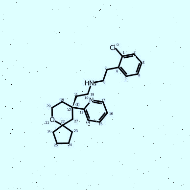 Clc1ccccc1CCNCC[C@]1(c2ccccn2)CCOC2(CCCC2)C1